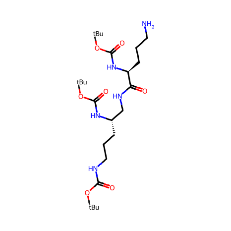 CC(C)(C)OC(=O)NCCC[C@@H](CNC(=O)[C@H](CCCN)NC(=O)OC(C)(C)C)NC(=O)OC(C)(C)C